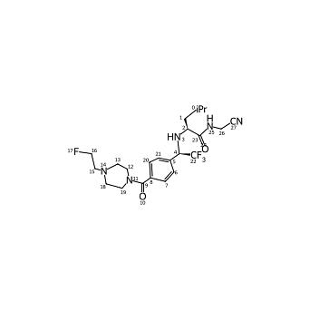 CC(C)C[C@H](N[C@H](c1ccc(C(=O)N2CCN(CCF)CC2)cc1)C(F)(F)F)C(=O)NCC#N